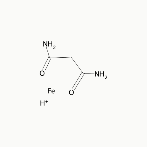 NC(=O)CC(N)=O.[Fe].[H+]